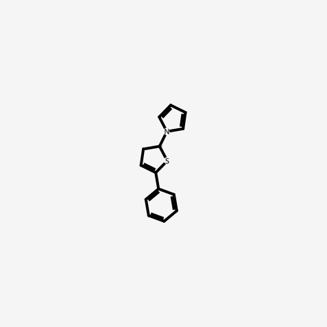 C1=C(c2ccccc2)S[C](n2cccc2)C1